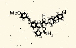 COc1ccc(COc2ccc(C(=O)N3CCC[C@@H]3C(N)=O)c(OC[C@@H](O)CN3CCC4(CC3)Cc3cc(Cl)ccc3O4)c2)cc1